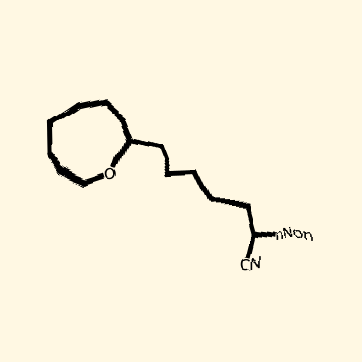 [CH2]CCCCCCCCC(C#N)CCCCC[C]1CCCCCCCO1